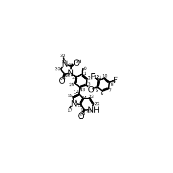 Cc1cc(Oc2ccc(F)cc2F)c(-c2cn(C)c3c(=O)[nH]ccc23)cc1N1C(=O)CN(C)C1=O